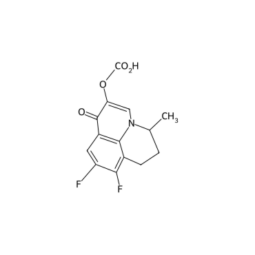 CC1CCc2c(F)c(F)cc3c(=O)c(OC(=O)O)cn1c23